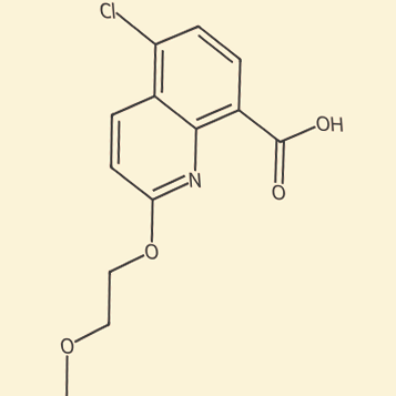 COCCOc1ccc2c(Cl)ccc(C(=O)O)c2n1